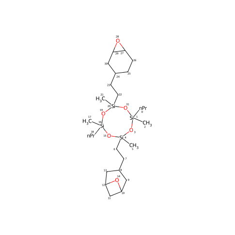 CCC[Si]1(C)O[Si](C)(CCC2CC3CC(C2)O3)O[Si](C)(CCC)O[Si](C)(CCC2CCC3OC3C2)O1